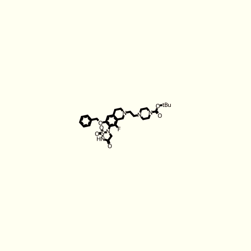 CC(C)(C)OC(=O)N1CCN(CCN2CCc3cc(OCc4ccccc4)c(N4CC(=O)NS4(=O)=O)c(F)c3C2)CC1